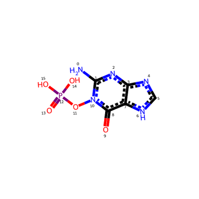 Nc1nc2nc[nH]c2c(=O)n1OP(=O)(O)O